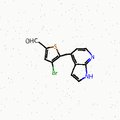 O=Cc1cc(Br)c(-c2ccnc3[nH]ccc23)s1